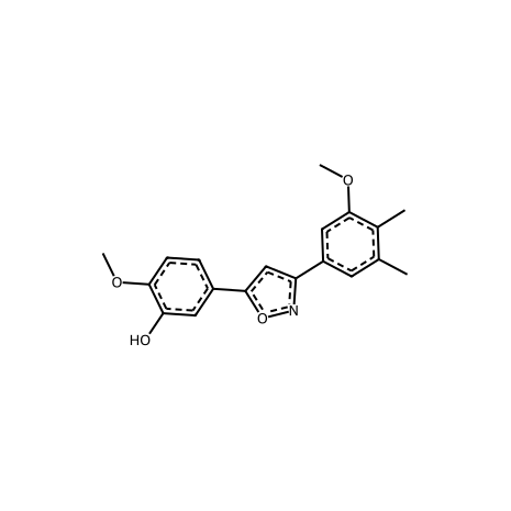 COc1ccc(-c2cc(-c3cc(C)c(C)c(OC)c3)no2)cc1O